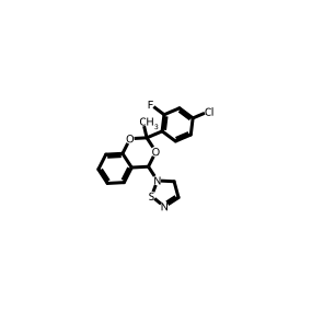 CC1(c2ccc(Cl)cc2F)Oc2ccccc2C(N2CC=NS2)O1